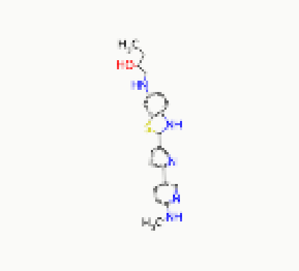 CCC(O)CNc1ccc2c(c1)SC(c1ccc(-c3ccc(NC)nc3)nc1)N2